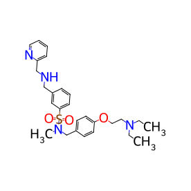 CCN(CC)CCOc1ccc(CN(C)S(=O)(=O)c2cccc(CNCc3ccccn3)c2)cc1